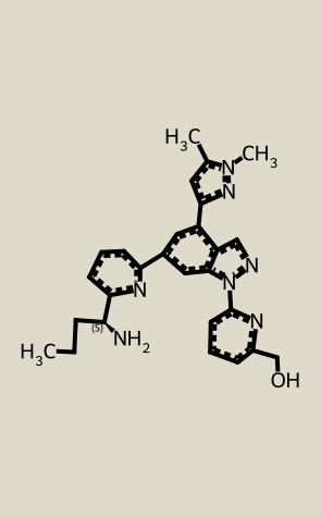 CCC[C@H](N)c1cccc(-c2cc(-c3cc(C)n(C)n3)c3cnn(-c4cccc(CO)n4)c3c2)n1